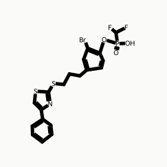 O=P(O)(Oc1ccc(CCCSc2nc(-c3ccccc3)cs2)cc1Br)C(F)F